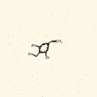 C=Cc1cc(C(C)C)c(CC(C)=O)c(C(C)C)c1